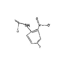 O=[N+]([O-])c1cc(F)ccc1NC(=S)Cl